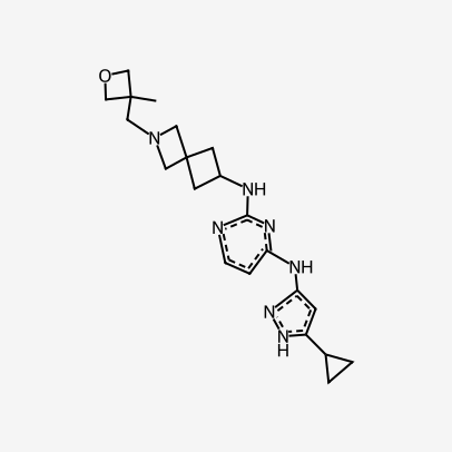 CC1(CN2CC3(CC(Nc4nccc(Nc5cc(C6CC6)[nH]n5)n4)C3)C2)COC1